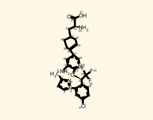 Cc1ccn(-c2cc(Cl)ccc2[C@@H](Oc2ncc(C3=CCC(C[C@H](N)C(=O)O)CC3)cc2N)C(F)(F)F)n1